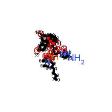 CCCCCCCC(O[PH](=O)O[C@H]1C[C@H](n2ccc(N)nc2=O)O[C@@H]1C(OC(c1ccccc1)(c1ccc(OC)cc1)c1ccc(OC)cc1)C(=O)c1ccccc1)N(C(C)C)C(C)C